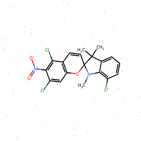 CN1c2c(Cl)cccc2C(C)(C)C12C=Cc1c(cc(Cl)c([N+](=O)[O-])c1Cl)O2